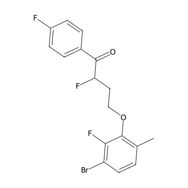 Cc1ccc(Br)c(F)c1OCCC(F)C(=O)c1ccc(F)cc1